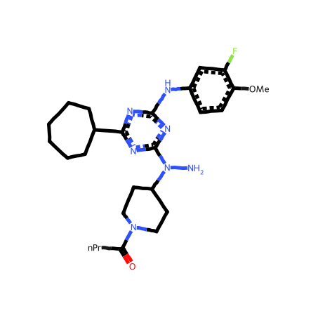 CCCC(=O)N1CCC(N(N)c2nc(Nc3ccc(OC)c(F)c3)nc(C3CCCCCC3)n2)CC1